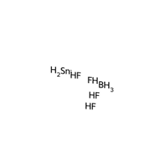 B.F.F.F.F.[SnH2]